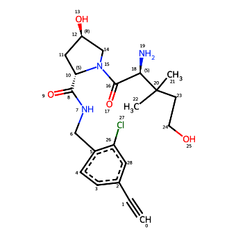 C#Cc1ccc(CNC(=O)[C@@H]2C[C@@H](O)CN2C(=O)[C@@H](N)C(C)(C)CCO)c(Cl)c1